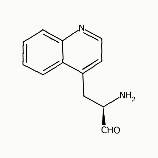 N[C@@H](C=O)Cc1ccnc2ccccc12